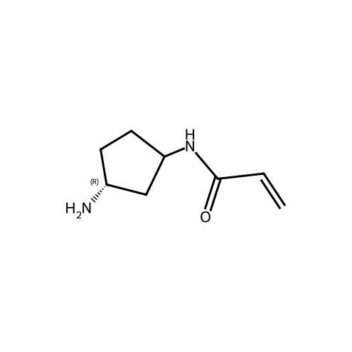 C=CC(=O)NC1CC[C@@H](N)C1